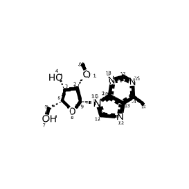 CO[C@H]1[C@@H](O)[C@@H](CO)O[C@H]1n1cnc2c(C)ncnc21